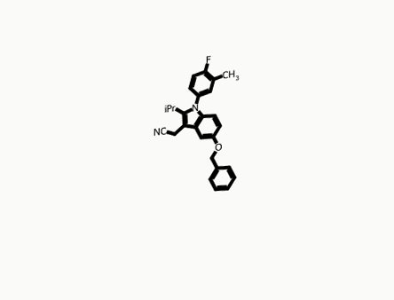 Cc1cc(-n2c(C(C)C)c(CC#N)c3cc(OCc4ccccc4)ccc32)ccc1F